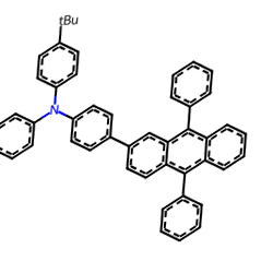 CC(C)(C)c1ccc(N(c2ccccc2)c2ccc(-c3ccc4c(-c5ccccc5)c5ccccc5c(-c5ccccc5)c4c3)cc2)cc1